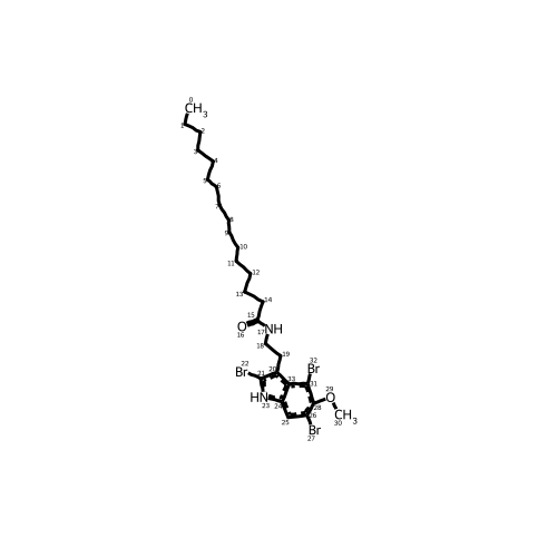 CCCCCCCCCCCCCCCC(=O)NCCc1c(Br)[nH]c2cc(Br)c(OC)c(Br)c12